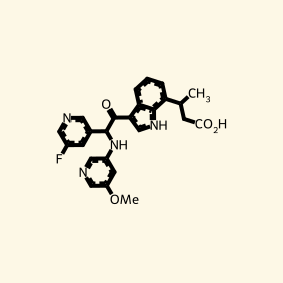 COc1cncc(NC(C(=O)c2c[nH]c3c(C(C)CC(=O)O)cccc23)c2cncc(F)c2)c1